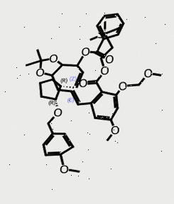 COCOc1cc(OC)cc(/C=C/CC2OC(C)(C)OC2C(/C=C\[C@H]2CCC[C@H]2OCc2ccc(OC)cc2)OC(=O)c2ccccc2)c1C(=O)OCC[Si](C)(C)C